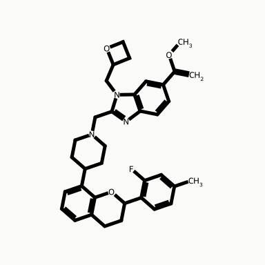 C=C(OC)c1ccc2nc(CN3CCC(c4cccc5c4OC(c4ccc(C)cc4F)CC5)CC3)n(CC3CCO3)c2c1